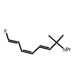 CCCC(C)(C)/C=C/C=C\C=C\F